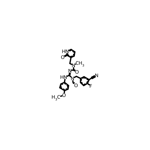 COc1ccc(N/C(=N/C(=O)N(C)Cc2ccc[nH]c2=O)N(C=O)Cc2ccc(F)c(C#N)c2)cc1